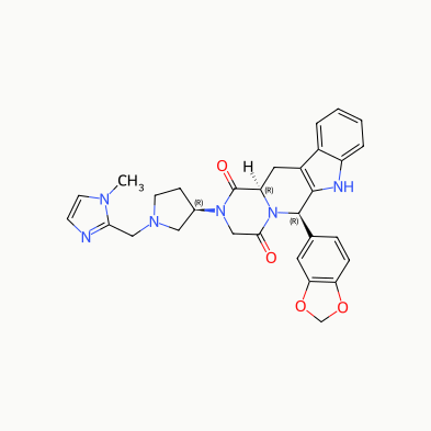 Cn1ccnc1CN1CC[C@@H](N2CC(=O)N3[C@H](c4ccc5c(c4)OCO5)c4[nH]c5ccccc5c4C[C@@H]3C2=O)C1